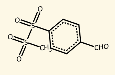 CS(=O)(=O)S(=O)(=O)c1ccc(C=O)cc1